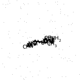 Cc1cc(OCCCC2CCN(c3ncc(Cl)cn3)CC2)cc(C)c1C(=O)N1CCCC1N